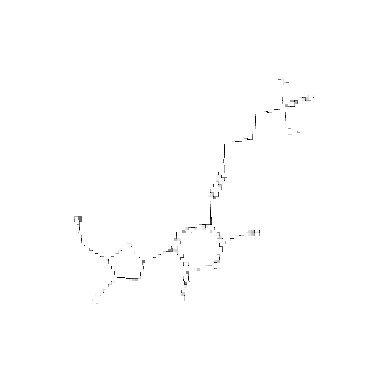 Nc1nc(=O)n(C2CC(O)C(CO)O2)cc1C#CCCCP(=O)(O)O